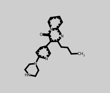 CCCCc1nc2ccccn2c(=O)c1-c1ccc(N2CCNCC2)nc1